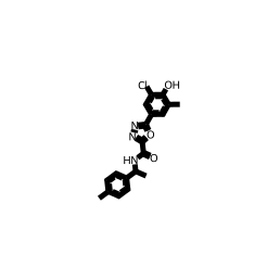 Cc1ccc(C(C)NC(=O)c2nnc(-c3cc(C)c(O)c(Cl)c3)o2)cc1